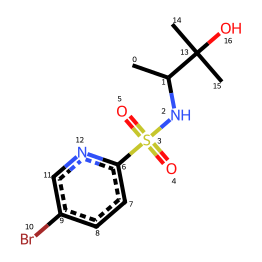 CC(NS(=O)(=O)c1ccc(Br)cn1)C(C)(C)O